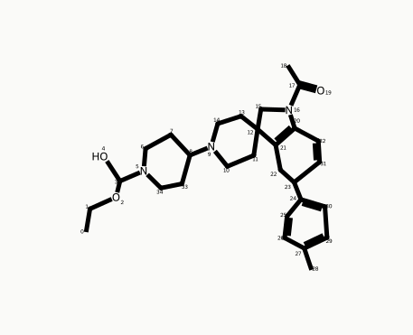 CCOC(O)N1CCC(N2CCC3(CC2)CN(C(C)=O)C2=C3CC(c3ccc(C)cc3)C=C2)CC1